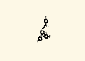 O=C(CCCN1CC[C@H]2[C@H](C1)c1cc(F)ccc1N2c1ccc(F)cc1)c1ccc(F)cc1